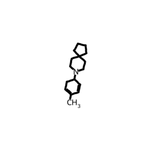 CC1=CCC(N2CCC3(CCCC3)CC2)C=C1